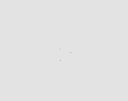 c1ccc(-c2cc(-c3ccccc3)nc(N3c4ccccc4C(c4ccccc4)(c4ccccc4)c4ccccc43)n2)cc1